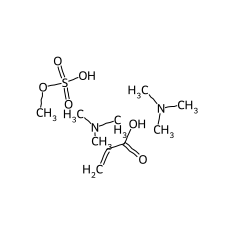 C=CC(=O)O.CN(C)C.CN(C)C.COS(=O)(=O)O